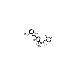 CCOc1cccc2[nH]c(C(=O)N[C@@H](CC(C)(C)C)C(=O)N[C@H](C#N)C[C@@H]3CCCNC3=O)cc12